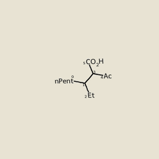 CCCCCC(CC)C(C(C)=O)C(=O)O